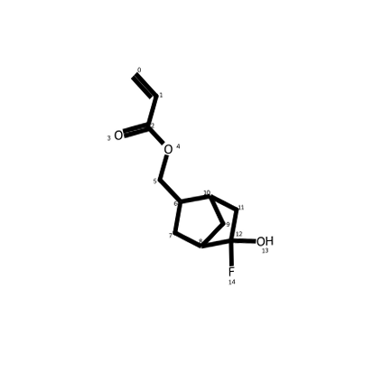 C=CC(=O)OCC1CC2CC1CC2(O)F